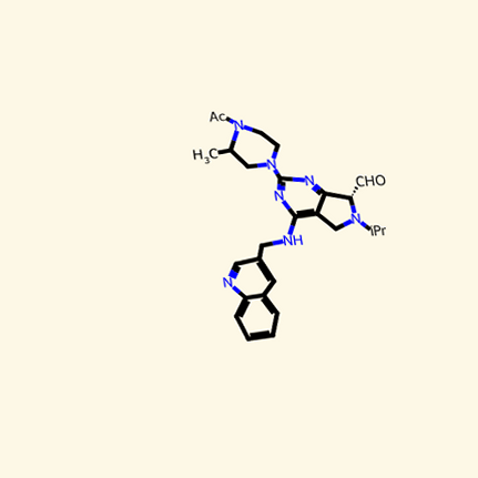 CC(=O)N1CCN(c2nc(NCc3cnc4ccccc4c3)c3c(n2)[C@H](C=O)N(C(C)C)C3)CC1C